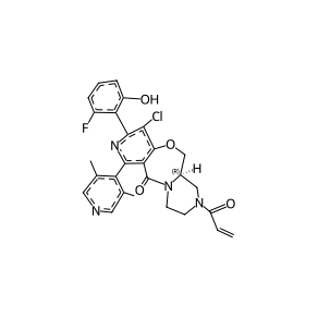 C=CC(=O)N1CCN2C(=O)c3c(-c4c(C)cncc4C)nc(-c4c(O)cccc4F)c(Cl)c3OC[C@H]2C1